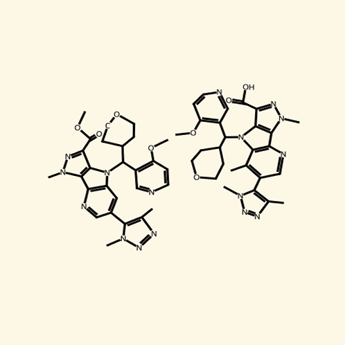 COC(=O)c1nn(C)c2c3ncc(-c4c(C)nnn4C)cc3n(C(c3cnccc3OC)C3CCOCC3)c12.COc1ccncc1C(C1CCOCC1)n1c2c(C)c(-c3c(C)nnn3C)cnc2c2c1c(C(=O)O)nn2C